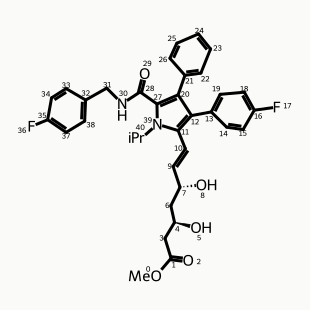 COC(=O)C[C@H](O)C[C@@H](O)/C=C/c1c(-c2ccc(F)cc2)c(-c2ccccc2)c(C(=O)NCc2ccc(F)cc2)n1C(C)C